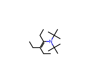 CCC(CC)=C(CC)N(C(C)(C)C)C(C)(C)C